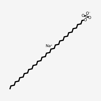 CCCCCCCCCCCCCCCCCCCCCCCCCCCCCCCCCCOS(=O)(=O)[O-].[Na+]